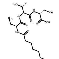 CCCCCCC(=O)N[C@@H](CN)C(=O)N[C@H](C(=O)N[C@H](CO)C(=O)O)[C@@H](C)O